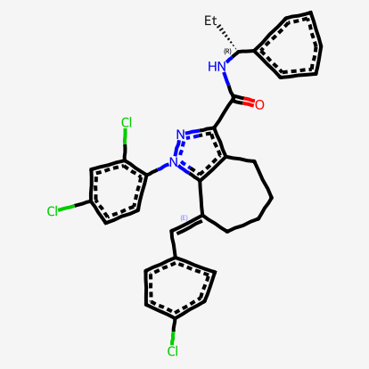 CC[C@@H](NC(=O)c1nn(-c2ccc(Cl)cc2Cl)c2c1CCCC/C2=C\c1ccc(Cl)cc1)c1ccccc1